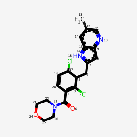 O=C(C1=C(Cl)C(Cc2cc3ncc(C(F)(F)F)cc3[nH]2)C(Cl)C=C1)N1CCOCC1